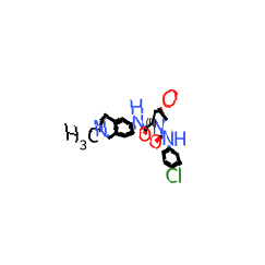 CN1CCc2cc(NC(=O)[C@H]3CC(=O)CN3C(=O)Nc3ccc(Cl)cc3)ccc2C1